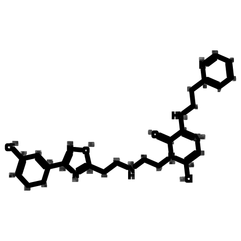 O=c1c(NCCc2ccccn2)ncc(Cl)n1CCNCCc1nc(C2=CC(Cl)=CCC2)no1